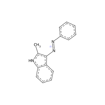 Cc1[nH]c2ccccc2c1/N=N/c1ccccc1